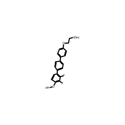 CCCCCCCCCCCCOc1ccc(-c2ccc(-c3ccc(OCCC)c(F)c3F)cc2)cc1